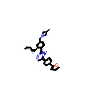 C/C=C\C=C/c1cc(CN2CC(C)C2)ccc1C1=NCC(c2ccc(-c3ccco3)cc2)=N1